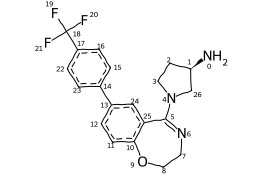 N[C@@H]1CCN(C2=NCCOc3ccc(-c4ccc(C(F)(F)F)cc4)cc32)C1